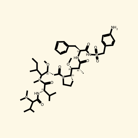 CCC(C)C([C@@H](CC(=O)N1CCC[C@H]1[C@H](OC)[C@@H](C)C(=O)N[C@@H](Cc1ccccc1)C(=O)NS(=O)(=O)Cc1ccc(N)cc1)OC)N(C)C(=O)[C@@H](NC(=O)C(C(C)C)N(C)C)C(C)C